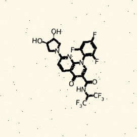 O=C(NC(C(F)(F)F)C(F)(F)F)c1cn(-c2c(F)cc(F)cc2F)c2nc(N3C[C@@H](O)[C@H](O)C3)ccc2c1=O